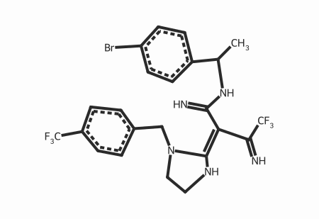 CC(NC(=N)/C(C(=N)C(F)(F)F)=C1/NCCN1Cc1ccc(C(F)(F)F)cc1)c1ccc(Br)cc1